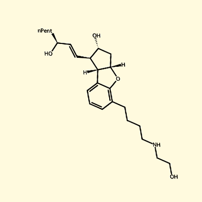 CCCCC[C@H](O)/C=C/[C@@H]1[C@H]2c3cccc(CCCCNCCO)c3O[C@H]2C[C@H]1O